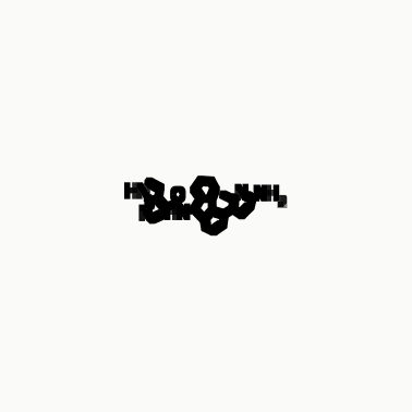 Cc1nc(N)ccc1-c1cccc2c1-c1ccccc1C2NC(=O)c1ccnc2[nH]ccc12